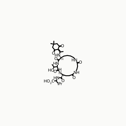 CC(N[C@H]1CCCCNC(=O)CCNC(=O)CC[C@@H](C(=O)NC(C(=O)O)C(C)C)NC(=O)C(C(C)O)NC1=O)=C1C(=O)CC(C)(C)CC1=O